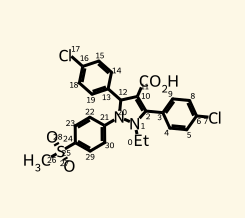 CCN1C(c2ccc(Cl)cc2)=C(C(=O)O)C(c2ccc(Cl)cc2)N1c1ccc(S(C)(=O)=O)cc1